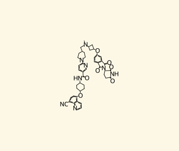 CN(CC1CCN(c2ccc(C(=O)NC3CCC(Oc4ccc(C#N)c5ncccc45)CC3)cn2)CC1)C1CC(Oc2ccc3c(c2)C(=O)N(C2CCC(=O)NC2=O)C3=O)C1